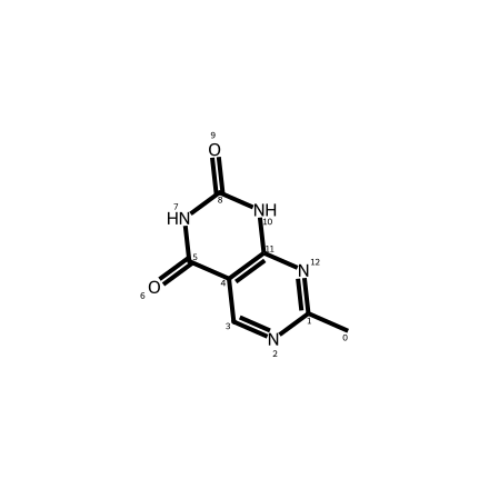 Cc1ncc2c(=O)[nH]c(=O)[nH]c2n1